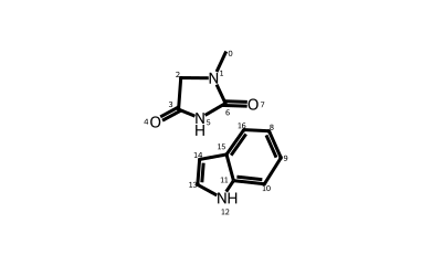 CN1CC(=O)NC1=O.c1ccc2[nH]ccc2c1